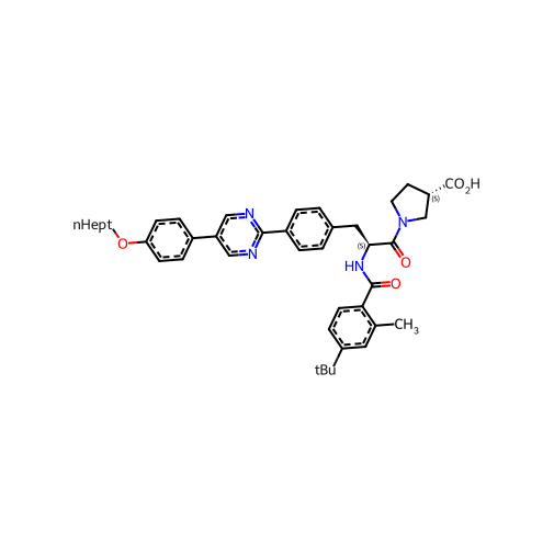 CCCCCCCOc1ccc(-c2cnc(-c3ccc(C[C@H](NC(=O)c4ccc(C(C)(C)C)cc4C)C(=O)N4CC[C@H](C(=O)O)C4)cc3)nc2)cc1